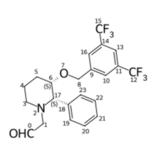 O=CCN1CCC[C@H](OCc2cc(C(F)(F)F)cc(C(F)(F)F)c2)[C@@H]1c1ccccc1